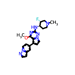 COc1nc(N[C@H]2CCN(C)C[C@H]2F)nn2ccc(-c3ccn4nccc4c3)c12